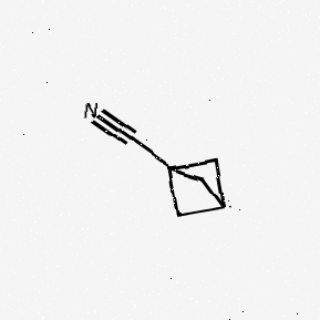 N#CC12C[C](C1)C2